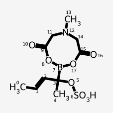 CC=CC(C)(OS(=O)(=O)O)B1OC(=O)CN(C)CC(=O)O1